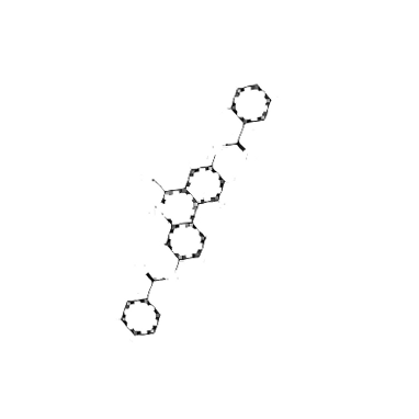 O=C(Oc1ccc2c(c1)nc(Cl)c1cc(OC(=O)c3ccccc3)ccc12)c1ccccc1